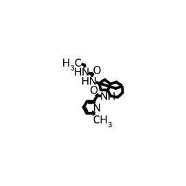 CCNC(=O)NC12CC3CCCC(NC(=O)c4cccc(C)n4)(C1)C(C3)C2